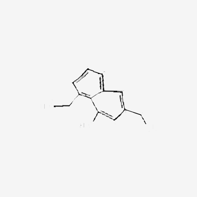 [CH2]c1cc(CC)cc2cccc(CC)c12